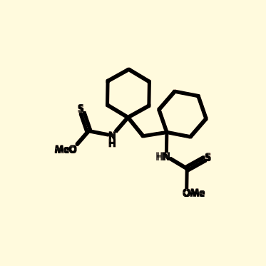 COC(=S)NC1(CC2(NC(=S)OC)CCCCC2)CCCCC1